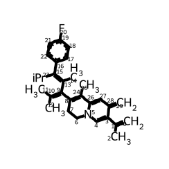 C=C(C)C1=CN2CCC(C(=C(C)C)/C(C)=C(/c3ccc(F)cc3)C(C)C)=C(C)C2=CC1=C